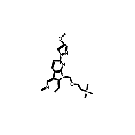 C=N/C=c1\c(=C/C)n(COCC[Si](C)(C)C)c2nc(-n3cc(OC)cn3)ccc12